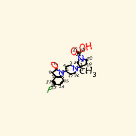 CC1(N2CCC(N3C(=O)Cc4cc(F)ccc43)CC2)CCN(C(=O)O)C1